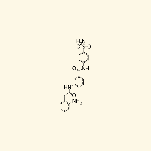 Nc1ccccc1CC(=O)Nc1cccc(C(=O)Nc2ccc(S(N)(=O)=O)cc2)c1